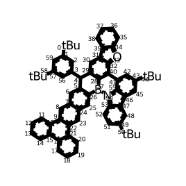 CC(C)(C)c1cc(C2c3cc4cc5c6ccccc6c6ccccc6c5cc4cc3B3c4c2cc2c(oc5ccccc52)c4-c2cc(C(C)(C)C)cc4c5cc(C(C)(C)C)ccc5n3c24)cc(C(C)(C)C)c1